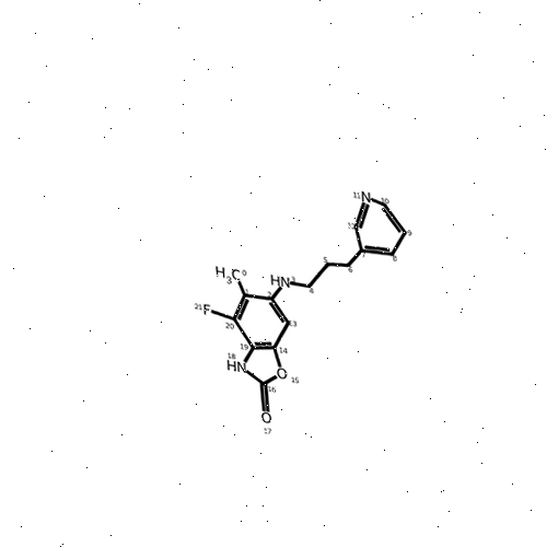 Cc1c(NCCCc2cccnc2)cc2oc(=O)[nH]c2c1F